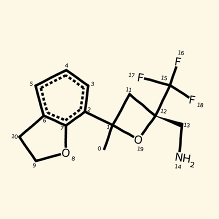 CC1(c2cccc3c2OCC3)C[C@](CN)(C(F)(F)F)O1